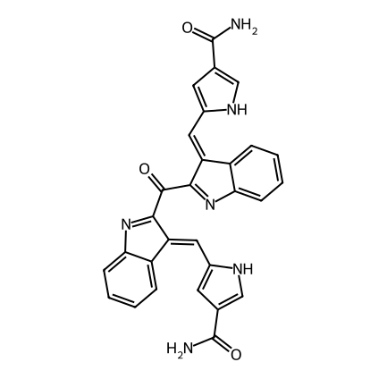 NC(=O)c1c[nH]c(C=C2C(C(=O)C3=Nc4ccccc4C3=Cc3cc(C(N)=O)c[nH]3)=Nc3ccccc32)c1